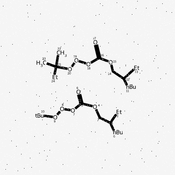 CCCCC(CC)COC(=O)OOOC(C)(C)C.CCCCC(CC)COC(=O)OOOC(C)(C)CC